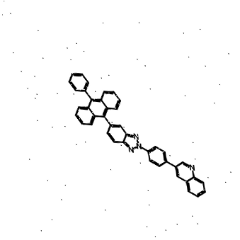 c1ccc(-c2c3ccccc3c(-c3ccc4nn(-c5ccc(-c6cnc7ccccc7c6)cc5)nc4c3)c3ccccc23)cc1